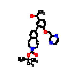 CC(=O)c1ccc(OCc2cnccn2)c(-c2ccc3c(c2)CCN(C(=O)OC(C)(C)C)CC3)c1